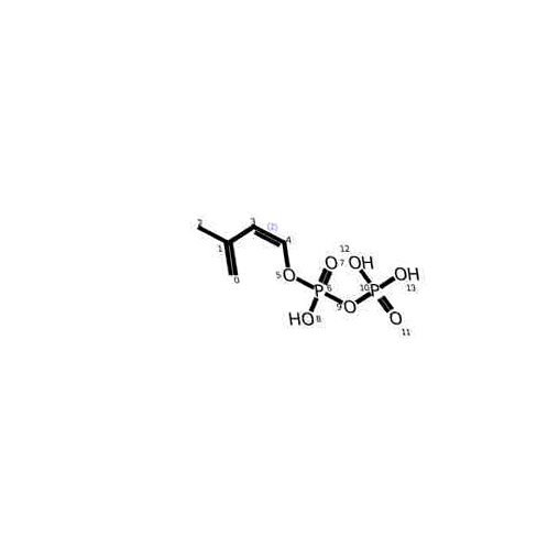 C=C(C)/C=C\OP(=O)(O)OP(=O)(O)O